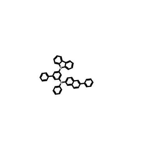 c1ccc(-c2cc(N(c3ccccc3)c3ccc4cc(-c5ccccc5)ccc4c3)cc(-n3c4ccccc4c4ccccc43)c2)cc1